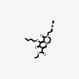 C=C=C=CCN1CCn2cc(C(=O)OCC)c(=O)c(OCCCC)c2C1=O